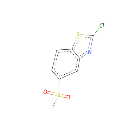 CS(=O)(=O)c1ccc2sc(Cl)nc2c1